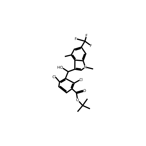 Cc1cc(C(F)(F)F)cc2c1c(C(O)c1c(Cl)ccc(C(=O)OC(C)(C)C)c1Cl)cn2C